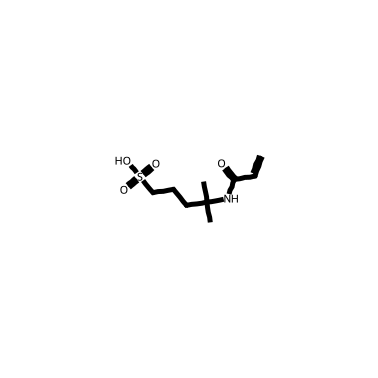 C=CC(=O)NC(C)(C)CCCS(=O)(=O)O